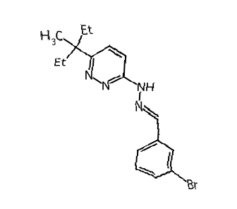 CCC(C)(CC)c1ccc(NN=Cc2cccc(Br)c2)nn1